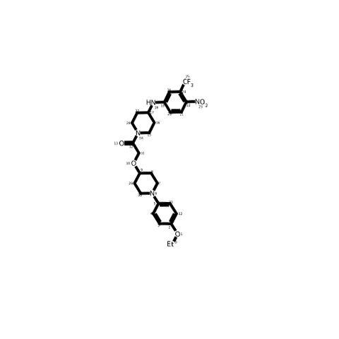 CCOc1ccc(N2CCC(OCC(=O)N3CCC(Nc4ccc([N+](=O)[O-])c(C(F)(F)F)c4)CC3)CC2)cc1